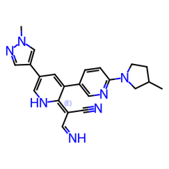 CC1CCN(c2ccc(C3=CC(c4cnn(C)c4)=CN/C3=C(/C#N)C=N)cn2)C1